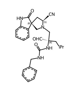 CC(C)C[C@](C=O)(CN1C[C@]2(C[C@H]1C#N)C(=O)Nc1ccccc12)NC(=O)NCc1ccccc1